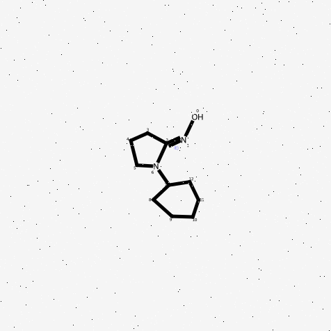 O/N=C1\CCCN1C1CCCCC1